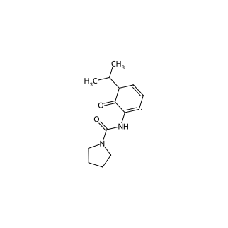 CC(C)C1C=C[C]=C(NC(=O)N2CCCC2)C1=O